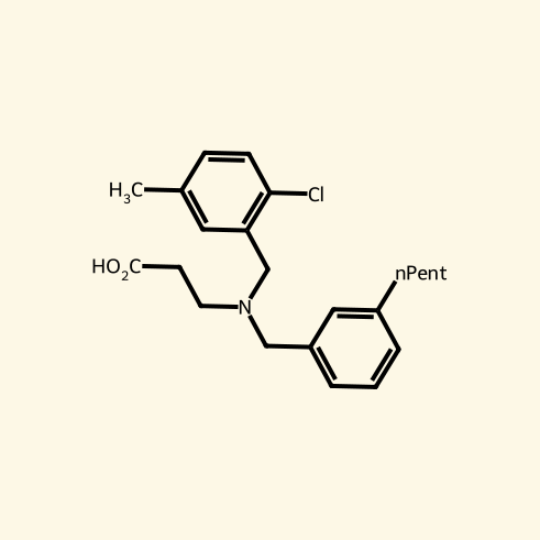 CCCCCc1cccc(CN(CCC(=O)O)Cc2cc(C)ccc2Cl)c1